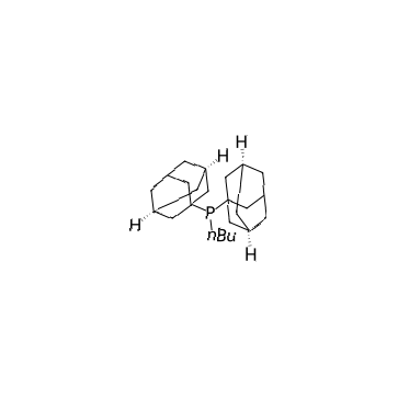 CCCCP(C12CC3C[C@H](C1)C[C@@H](C3)C2)C12CC3C[C@H](C1)C[C@@H](C3)C2